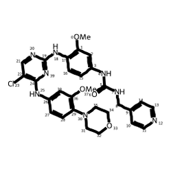 COc1cc(NC(=O)NCc2ccncc2)ccc1Nc1ncc(Cl)c(Nc2ccc(N3CCOCC3)c(OC)c2)n1